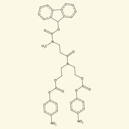 CN(CCC(=O)N(CCOC(=O)Oc1ccc([N+](=O)[O-])cc1)CCOC(=O)Oc1ccc([N+](=O)[O-])cc1)C(=O)OC1c2ccccc2-c2ccccc21